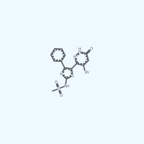 CC(C)c1cc(=O)[nH]nc1-c1sc(NS(C)(=O)=O)nc1-c1ccccc1